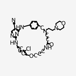 N#Cc1cnc2nc1Nc1ccc(cc1)CN(CCN1CCOCC1)CCC(=O)NCCCOc1ccc(cc1Cl)N2